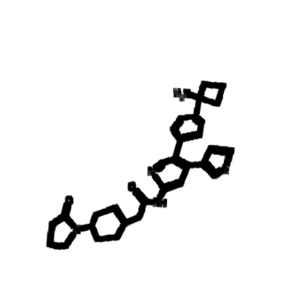 NC1(c2ccc(-c3cnc(NC(=O)CC4CCC(N5CCCC5=O)CC4)cc3-c3ccsc3)cc2)CCC1